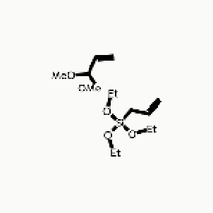 C=CC(OC)OC.C=CC[Si](OCC)(OCC)OCC